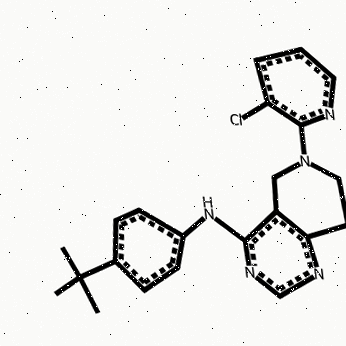 CC(C)(C)c1ccc(Nc2ncnc3c2CN(c2ncccc2Cl)CC3)cc1